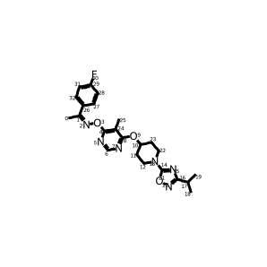 CC(=NOc1ncnc(OC2CCN(c3nc(C(C)C)no3)CC2)c1C)c1ccc(F)cc1